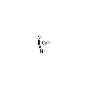 [Ca+2].[N-]=C=[N-]